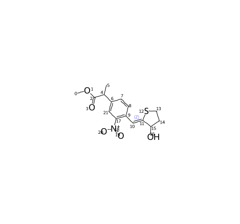 COC(=O)C(C)c1ccc(/C=C2\SCCC2O)c([N+](=O)[O-])c1